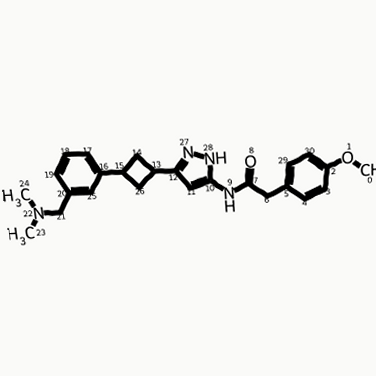 COc1ccc(CC(=O)Nc2cc(C3CC(c4cccc(CN(C)C)c4)C3)n[nH]2)cc1